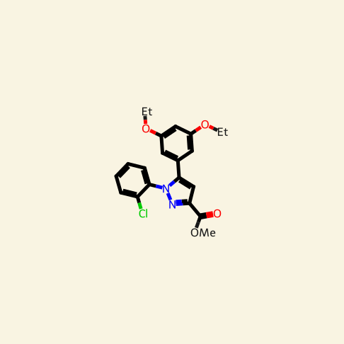 CCOc1cc(OCC)cc(-c2cc(C(=O)OC)nn2-c2ccccc2Cl)c1